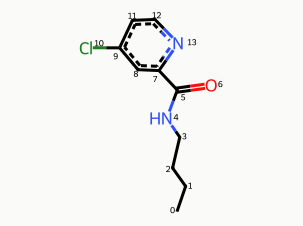 CCCCNC(=O)c1cc(Cl)ccn1